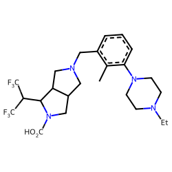 CCN1CCN(c2cccc(CN3CC4CN(C(=O)O)C(C(C(F)(F)F)C(F)(F)F)C4C3)c2C)CC1